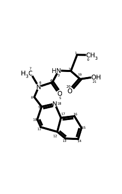 CCC(NC(=O)N(C)Cc1ccc2ccccc2n1)C(=O)O